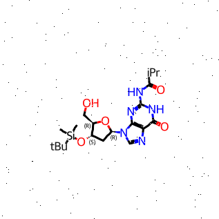 CC(C)C(=O)Nc1nc2c(ncn2[C@H]2C[C@H](O[Si](C)(C)C(C)(C)C)[C@@H](CO)O2)c(=O)[nH]1